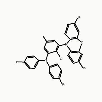 Cc1cc(B2c3ccc(C(C)C)cc3Oc3cc(C(C)C)ccc32)c(Cl)c(N(c2ccc(C(C)C)cc2)c2ccc(C(C)C)cc2)c1